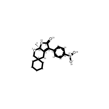 C[C@@]12OCC3(CCCCC3)CC1=C(c1ccc([N+](=O)[O-])cc1)C(=O)O2